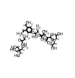 C=CC(=O)O.C=CC(=O)O.C=CC(=O)O.C=Cc1ccccc1C=C.CC=C(C)C(=O)O.CCC(CO)(CO)CO.OCCOCCO